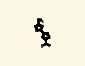 Cc1nnc(-c2cnn(C(F)F)c2)o1